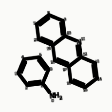 Nc1ccccc1.c1ccc2nc3ccccc3cc2c1